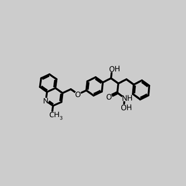 Cc1cc(COc2ccc(C(O)C(Cc3ccccc3)C(=O)NO)cc2)c2ccccc2n1